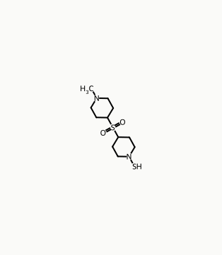 CN1CCC(S(=O)(=O)C2CCN(S)CC2)CC1